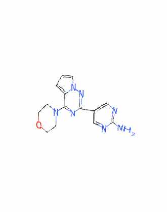 Nc1ncc(-c2nc(N3CCOCC3)c3cccn3n2)cn1